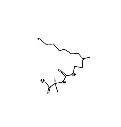 CN(CCCCCCS)CCNC(=O)NC(C)(C)C(N)=O